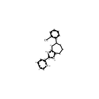 Clc1ccccc1C1CCCc2nc(-c3ccccn3)oc2C1